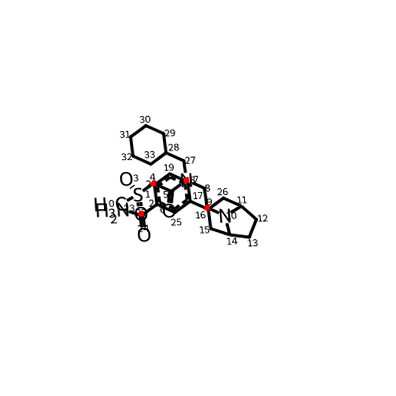 CS(=O)(=O)CC(=O)N(CCN1C2CCC1CC(c1cccc(C(N)=O)c1)C2)CC1CCCCC1